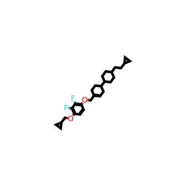 Fc1c(OCC2=CCC(C3CCC(CCC4CC4)CC3)CC2)ccc(OCC2CC2)c1F